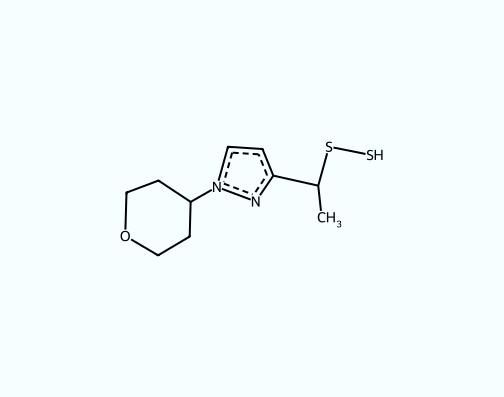 CC(SS)c1ccn(C2CCOCC2)n1